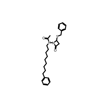 CC(=O)N(CCCCCCCCCc1ccccc1)N1C(=O)CC1SCc1ccccc1